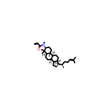 C=CC(=O)N(C)[C@H]1CC[C@]2(C)[C@H]3CC[C@]4(C)[C@@H]([C@H](C)CCC=C(C)C)CC[C@H]4[C@@H]3CC[C@H]2C1(C)C